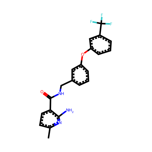 Cc1ccc(C(=O)NCc2cccc(Oc3cccc(C(F)(F)F)c3)c2)c(N)n1